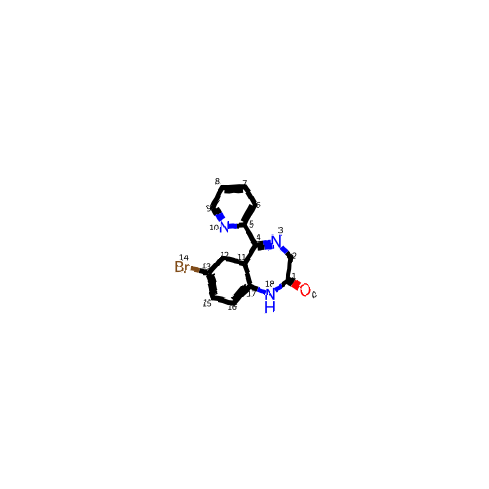 O=C1CN=C(c2ccccn2)C2CC(Br)=CC=C2N1